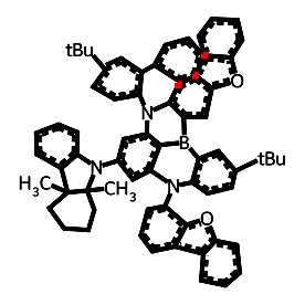 CC(C)(C)c1ccc2c(c1)B1c3cc4oc5ccccc5c4cc3N(c3ccc(C(C)(C)C)cc3-c3ccccc3)c3cc(N4c5ccccc5C5(C)CCCCC45C)cc(c31)N2c1cccc2c1oc1ccccc12